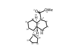 COC(=O)N1CCN[C@@H]2[C@H](N3CCCC3)CCC[C@H]21